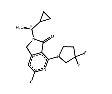 C[C@@H](C1CC1)N1Cc2cc(Cl)nc(N3CCC(F)(F)C3)c2C1=O